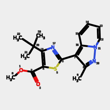 COC(=O)c1sc(-c2c(C)nn3ccccc23)nc1C(C)(C)C